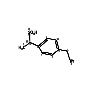 CC(C)Cc1ccc([C@@H](C)S(=O)(=O)O)cc1